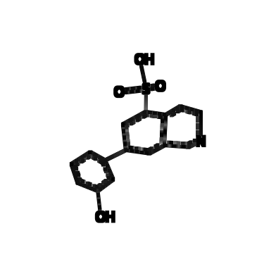 O=S(=O)(O)c1cc(-c2cccc(O)c2)cc2cnccc12